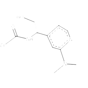 CCC(=O)N[C@H](CO)c1ccnc(N(C)C)c1